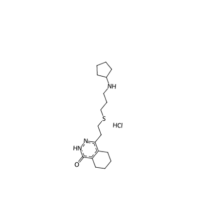 Cl.O=c1[nH]nc(CCSCCCNC2CCCC2)c2c1CCCC2